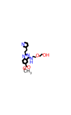 COC(=O)c1ccc2nc(CCc3cccnc3)nc(NCCOCCO)c2c1